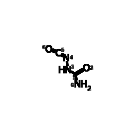 NC(=O)NN=C=O